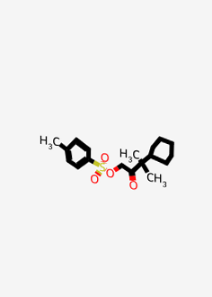 Cc1ccc(S(=O)(=O)OCC(=O)C(C)(C)C2CCCCC2)cc1